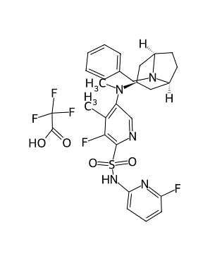 Cc1c(N(C)[C@H]2C[C@H]3CC[C@@H](C2)N3Cc2ccccc2)cnc(S(=O)(=O)Nc2cccc(F)n2)c1F.O=C(O)C(F)(F)F